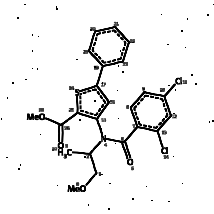 COCC(C)N(C(=O)c1ccc(Cl)cc1Cl)c1cc(-c2ccccc2)sc1C(=O)OC